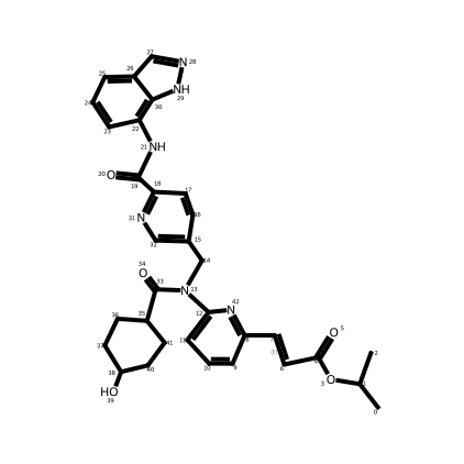 CC(C)OC(=O)/C=C/c1cccc(N(Cc2ccc(C(=O)Nc3cccc4cn[nH]c34)nc2)C(=O)C2CCC(O)CC2)n1